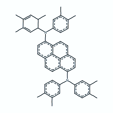 CC1=CC(C)C(N(c2ccc(C)c(C)c2)c2ccc3ccc4c(N(c5ccc(C)c(C)c5)c5ccc(C)c(C)c5)ccc5ccc2c3c54)C=C1C